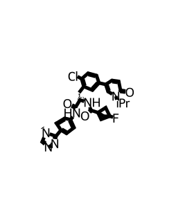 CC(C)n1cc(-c2ccc(Cl)c(C[C@H](NC(=O)C34CC(F)(C3)C4)C(=O)Nc3ccc(-c4nncn4C)cc3)c2)ccc1=O